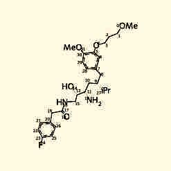 COCCCOc1cc(C[C@@H](C[C@H](N)[C@@H](O)CNC(=O)Cc2ccc(F)cc2)C(C)C)ccc1OC